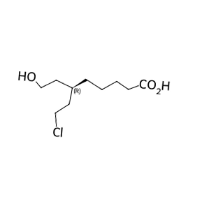 O=C(O)CCCC[C@H](CCO)CCCl